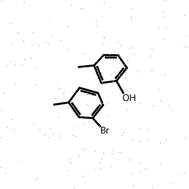 Cc1cccc(Br)c1.Cc1cccc(O)c1